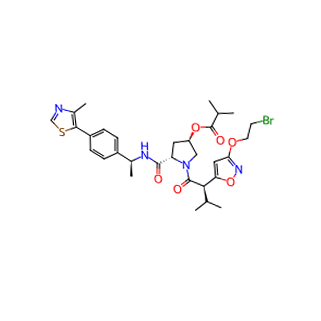 Cc1ncsc1-c1ccc([C@H](C)NC(=O)[C@@H]2C[C@@H](OC(=O)C(C)C)CN2C(=O)[C@@H](c2cc(OCCBr)no2)C(C)C)cc1